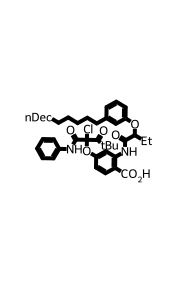 CCCCCCCCCCCCCCCc1cccc(OC(CC)C(=O)Nc2cc(OC(Cl)(C(=O)Nc3ccccc3)C(=O)C(C)(C)C)ccc2C(=O)O)c1